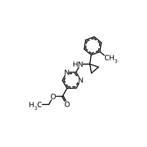 CCOC(=O)c1cnc(NC2(c3ccccc3C)CC2)nc1